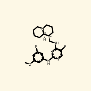 COc1cc(F)cc(Nc2ncc(F)c(NC[C@@H]3CCCN4CCCC[C@H]34)n2)c1